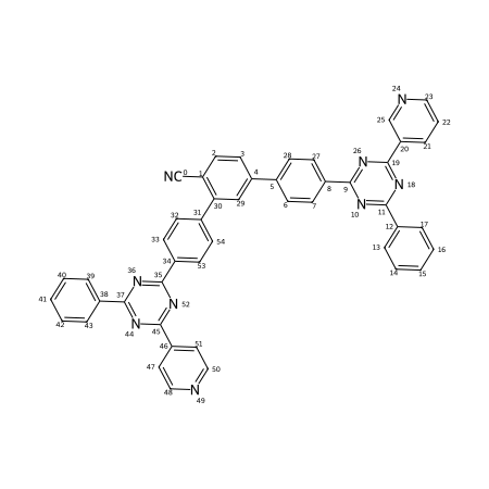 N#Cc1ccc(-c2ccc(-c3nc(-c4ccccc4)nc(-c4cccnc4)n3)cc2)cc1-c1ccc(-c2nc(-c3ccccc3)nc(-c3ccncc3)n2)cc1